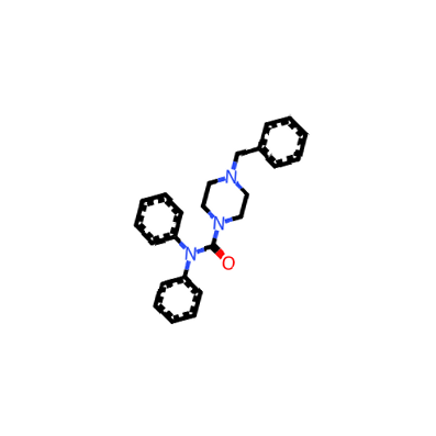 O=C(N1CCN(Cc2ccccc2)CC1)N(c1ccccc1)c1ccccc1